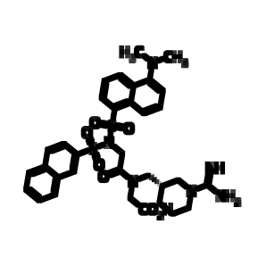 CN(C)c1cccc2c(S(=O)(=O)N(CC(=O)N(CC(=O)O)C[C@H]3CCCN(C(=N)N)C3)S(=O)(=O)c3ccc4ccccc4c3)cccc12